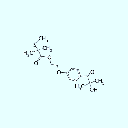 CSC(C)(C)C(=O)OCCOc1ccc(C(=O)C(C)(C)O)cc1